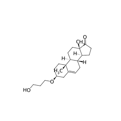 C[C@]12CC[C@H](OCCCO)CC1=CC[C@@H]1[C@@H]2CC[C@]2(C)C(=O)CC[C@@H]12